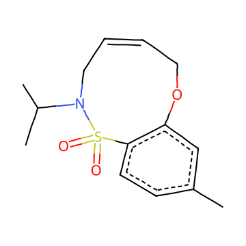 Cc1ccc2c(c1)OC/C=C\CN(C(C)C)S2(=O)=O